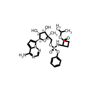 CC(C)OC(=O)C1(NP(=O)(OC[C@@]2(C)O[C@@H](c3ccc4c(N)ncnn34)[C@H](O)[C@@H]2O)Oc2ccccc2)CCC1